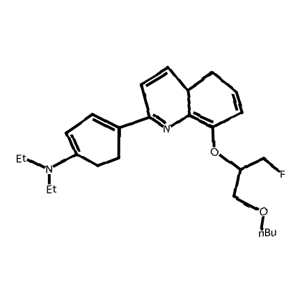 CCCCOCC(CF)OC1=C2N=C(C3=CC=C(N(CC)CC)CC3)C=CC2CC=C1